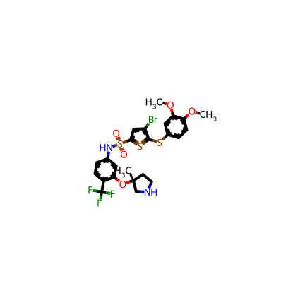 COc1ccc(Sc2sc(S(=O)(=O)Nc3ccc(C(F)(F)F)c(O[C@]4(C)CCNC4)c3)cc2Br)cc1OC